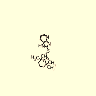 CC1(C)CCCC(C)(C)N1CCSc1nc2ncccc2[nH]1